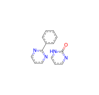 O=c1nccc[nH]1.c1ccc(-c2ncccn2)cc1